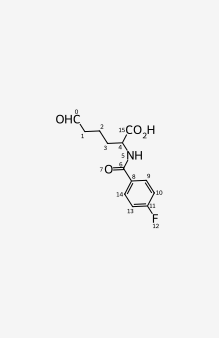 O=CCCCC(NC(=O)c1ccc(F)cc1)C(=O)O